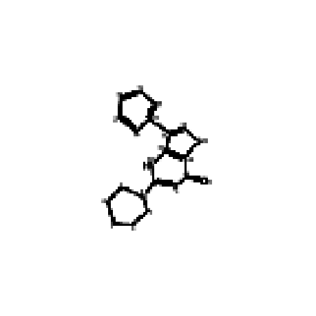 O=c1nc(N2CCCCC2)[nH]c2c(-c3ccccc3)csc12